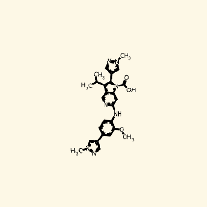 COc1cc(-c2cnn(C)c2)ccc1Nc1cc2c(cn1)c(C(C)C)c(-c1cnn(C)c1)n2C(=O)O